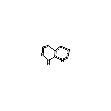 C1=Cc2cccnc2NN=1